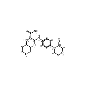 NC(=O)[C@H](NC1CCOCC1)C(=O)Nc1ccc(N2CCOCC2=O)cc1